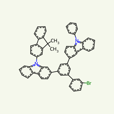 CC1(C)c2ccccc2-c2ccc(-n3c4ccccc4c4ccc(-c5cc(-c6cccc(Br)c6)cc(-c6ccc7c(c6)c6ccccc6n7-c6ccccc6)c5)cc43)cc21